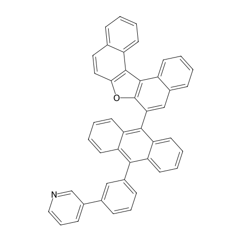 c1cncc(-c2cccc(-c3c4ccccc4c(-c4cc5ccccc5c5c4oc4ccc6ccccc6c45)c4ccccc34)c2)c1